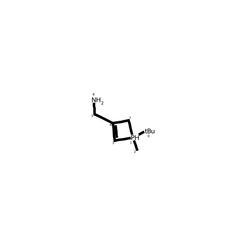 CC(C)(C)[PH]1(C)C=C(CN)C1